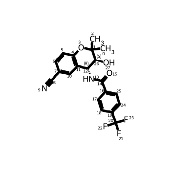 CC1(C)Oc2ccc(C#N)cc2[C@@H](NC(=O)c2ccc(C(F)(F)F)cc2)[C@@H]1O